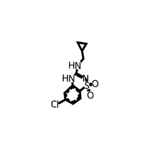 O=S1(=O)N=C(NCC2CC2)Nc2cc(Cl)ccc21